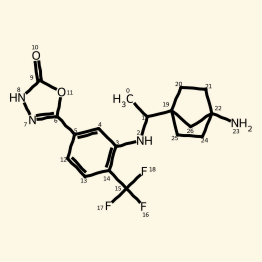 CC(Nc1cc(-c2n[nH]c(=O)o2)ccc1C(F)(F)F)C12CCC(N)(CC1)C2